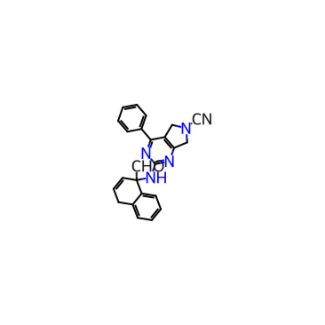 N#CN1Cc2nc(NC3(C=O)C=CCc4ccccc43)nc(-c3ccccc3)c2C1